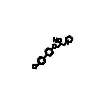 OC(COc1ccc(-c2ccc(Cl)cc2)cc1)CN1CCCC1